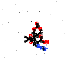 CC1(C)O[C@@H]2C(N=[N+]=[N-])C(O)OC3(COC(=O)OC3)[C@@H]2O1